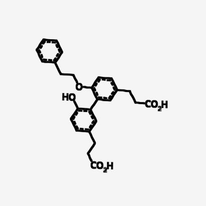 O=C(O)CCc1ccc(O)c(-c2cc(CCC(=O)O)ccc2OCCc2ccccc2)c1